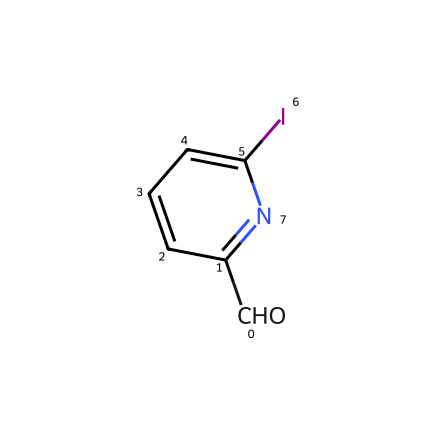 O=Cc1cccc(I)n1